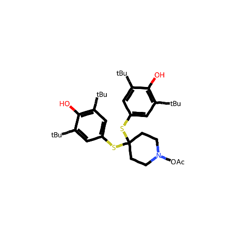 CC(=O)ON1CCC(Sc2cc(C(C)(C)C)c(O)c(C(C)(C)C)c2)(Sc2cc(C(C)(C)C)c(O)c(C(C)(C)C)c2)CC1